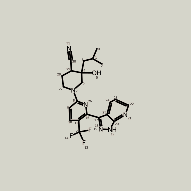 CC(C)CC1(O)CN(c2ccc(C(F)(F)F)c(-c3n[nH]c4ncccc34)n2)CCC1C#N